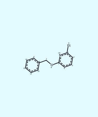 CCc1cccc(OCc2ccccc2)n1